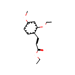 CCOC(=O)/C=C/c1ccc(OC)cc1OCC